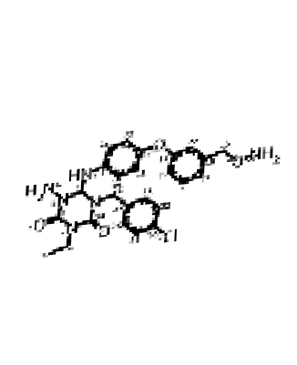 CCN1C(=O)N(N)C(Nc2ccc(Oc3cccc(CON)c3)cc2)N(Cc2ccc(Cl)cc2)C1=O